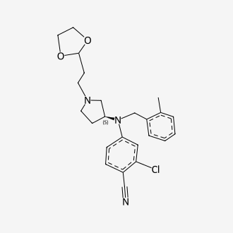 Cc1ccccc1CN(c1ccc(C#N)c(Cl)c1)[C@H]1CCN(CCC2OCCO2)C1